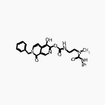 CC(C)NC(=O)N(C)CCNC(=O)Oc1ncc2c(=O)n(Cc3ccccc3)ccc2c1O